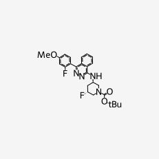 COc1ccc(-c2nnc(N[C@@H]3C[C@@H](F)CN(C(=O)OC(C)(C)C)C3)c3ccccc23)c(F)c1